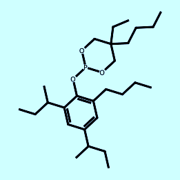 CCCCc1cc(C(C)CC)cc(C(C)CC)c1OP1OCC(CC)(CCCC)CO1